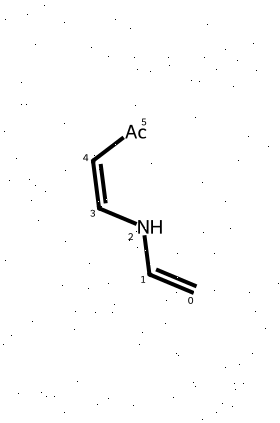 C=CN/C=C\C(C)=O